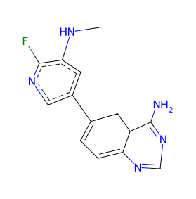 CNc1cc(C2=CC=C3N=CN=C(N)C3C2)cnc1F